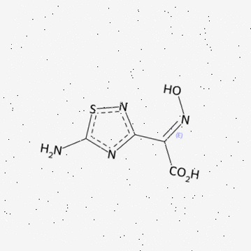 Nc1nc(/C(=N\O)C(=O)O)ns1